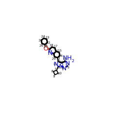 Nc1ncnn2c(C3CCC3)nc(-c3ccc4ccc(Oc5ccccc5)nc4c3)c12